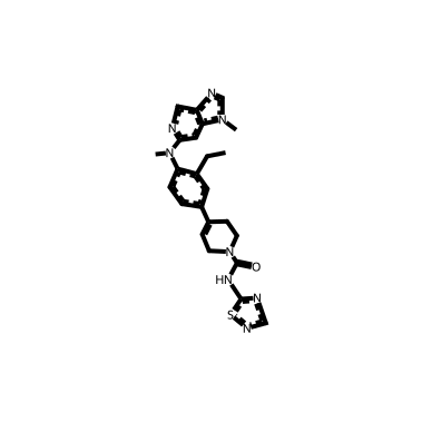 CCc1cc(C2=CCN(C(=O)Nc3ncns3)CC2)ccc1N(C)c1cc2c(cn1)ncn2C